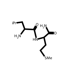 CSCCC(NC(=O)C(N)CC(C)C)C(N)=O